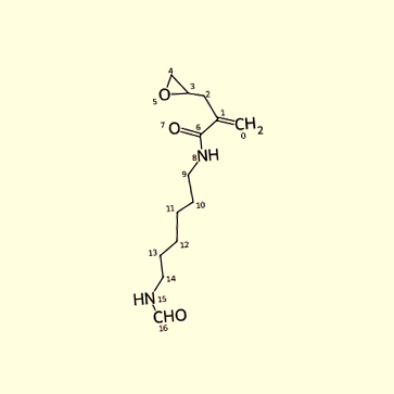 C=C(CC1CO1)C(=O)NCCCCCCNC=O